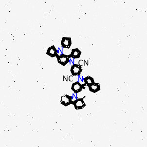 C[C@H]1CC=Cc2c1n(C1=CC3(C)c4c(ccc5ccccc45)N(c4cc(C#N)c(-n5c6ccccc6c6c5ccc5c7ccccc7n(-c7ccccc7)c56)cc4C#N)C3CC1)c1ccccc21